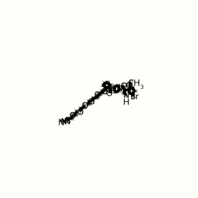 COc1ccc(Br)c2[nH]cc(C(=O)N3CCN(C(=O)c4ccccc4OCCOCCOCCOCCOCCOCCN=[N+]=[N-])CC3)c12